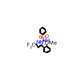 COc1ccccc1-c1cc(C(F)(F)F)nn1NS(=O)(=O)c1ccccc1